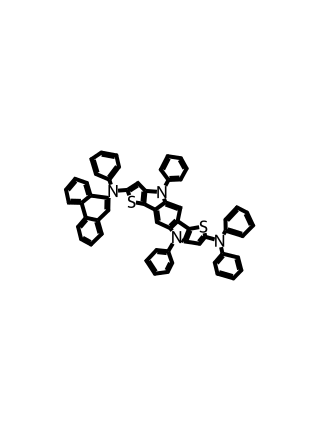 c1ccc(N(c2ccccc2)c2cc3c(s2)c2cc4c(cc2n3-c2ccccc2)c2sc(N(c3ccccc3)c3cc5ccccc5c5ccccc35)cc2n4-c2ccccc2)cc1